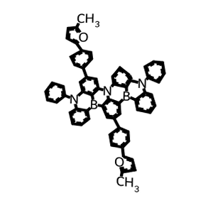 Cc1ccc(-c2ccc(-c3cc4c5c(c3)B3c6ccccc6N(c6ccccc6)c6cc(-c7ccc(-c8ccc(C)o8)cc7)cc(c63)N5c3cccc5c3B4c3ccccc3N5c3ccccc3)cc2)o1